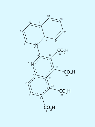 O=C(O)c1ccc2nc(N3C=CC=C4C=CC=CC43)c(C(=O)O)c(C(=O)O)c2c1C(=O)O